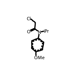 COc1ccc(N(C(=O)CCl)C(C)C)cc1